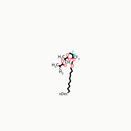 C=C(C)C(=O)OC(C)(C)C1OCC(F)(F)C(OCOCCCCCCCCCCCCCCCCCCCC)(C(F)(F)F)O1